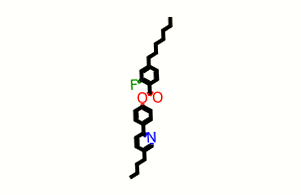 CCCCCCCc1ccc(C(=O)Oc2ccc(-c3ccc(CCCC)cn3)cc2)c(F)c1